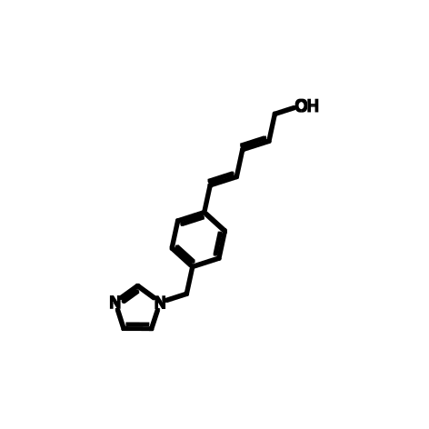 OC/C=C/C=Cc1ccc(Cn2ccnc2)cc1